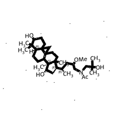 COC(C[C@@H](C)[C@H]1C[C@H](O)[C@@]2(C)C3CC[C@H]4C(C)(C)C(O)CCC45CC35CCC12C)CN(CC(C)(C)O)C(C)=O